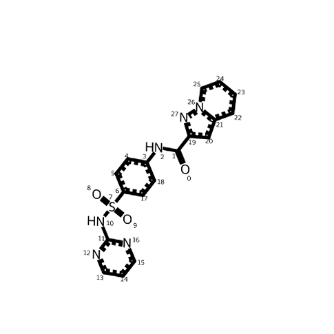 O=C(Nc1ccc(S(=O)(=O)Nc2ncccn2)cc1)c1cc2ccccn2n1